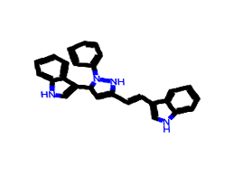 C(=Cc1c[nH]c2ccccc12)C1=CC(c2c[nH]c3ccccc23)N(c2ccccc2)N1